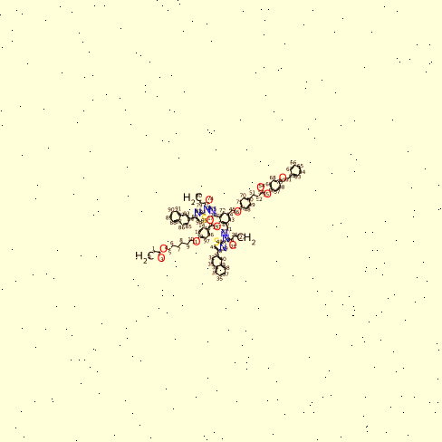 C=CC(=O)OCCCCCCOc1ccc(C(=O)Oc2c(/C=N/N(C(=O)C=C)c3nc(-c4ccc5ccccc5c4)cs3)cc(COc3ccc(CCC(=O)Oc4ccc(OCc5ccccc5)cc4)cc3)cc2/C=N/N(C(=O)C=C)c2nc(-c3ccc4ccccc4c3)cs2)cc1